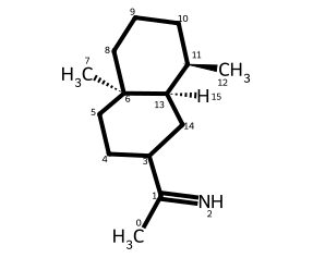 CC(=N)C1CC[C@@]2(C)CCC[C@@H](C)[C@H]2C1